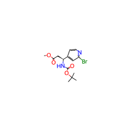 COC(=O)C[C@H](NC(=O)OC(C)(C)C)c1ccnc(Br)c1